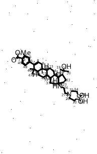 COC(=O)c1ccc(C2=CC[C@]3(C)[C@H]4CC[C@@H]5[C@H]6[C@H](C(C)(C)O)CC[C@]6(NCCN6CCS(O)(O)CC6)CC[C@@]5(C)[C@]4(C)CC[C@H]3C2(C)C)cc1